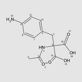 CC(=O)NC(Cc1ccc(N)cc1)(C(=O)O)C(=O)O